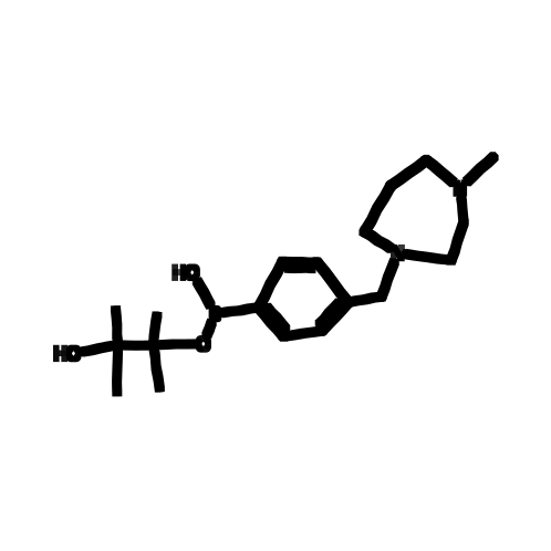 CN1CCCN(Cc2ccc(B(O)OC(C)(C)C(C)(C)O)cc2)CC1